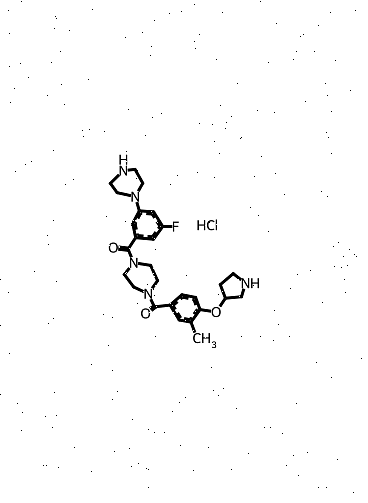 Cc1cc(C(=O)N2CCN(C(=O)c3cc(F)cc(N4CCNCC4)c3)CC2)ccc1OC1CCNC1.Cl